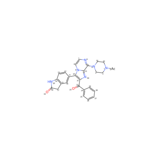 CC(=O)N1CCN(c2nccn3c(-c4ccc5c(c4)CC(=O)N5)c(C(=O)c4ccccc4)nc23)CC1